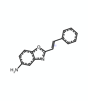 Nc1ccc2oc(/C=C/c3ccccc3)nc2c1